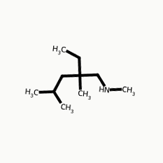 CCC(C)(CNC)CC(C)C